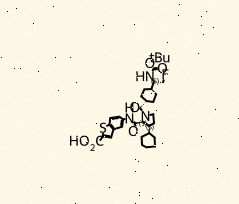 CC(C)(C)OC(=O)N[C@H](CF)[C@H]1CC[C@H](C(=O)N2CC[C@@H](C3CCCCC3)[C@H]2C(=O)Nc2ccc3sc(C(=O)O)cc3c2)CC1